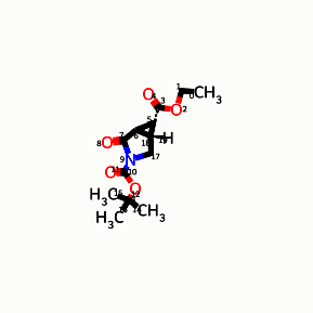 CCOC(=O)[C@H]1C2C(=O)N(C(=O)OC(C)(C)C)C[C@H]21